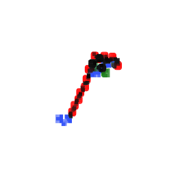 COc1cc2c(cc1-c1cccc(NC(=O)NCCOCCOCCOCCOCCOCCOCCN)c1)-c1c(c(C(=O)N3CCOCC3(C)C)nn1-c1cc(Cl)cc(Cl)c1)CO2